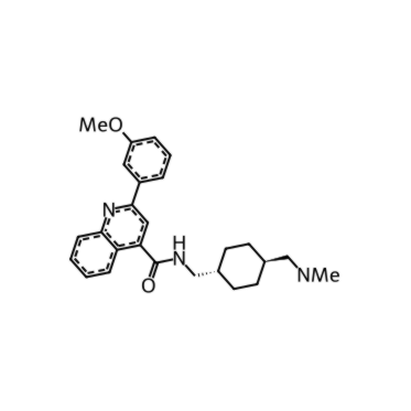 CNC[C@H]1CC[C@H](CNC(=O)c2cc(-c3cccc(OC)c3)nc3ccccc23)CC1